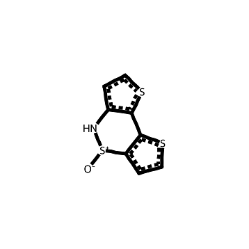 [O-][S+]1Nc2ccsc2-c2sccc21